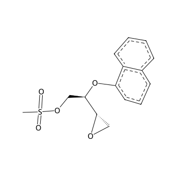 CS(=O)(=O)OC[C@@H](Oc1cccc2ccccc12)[C@@H]1CO1